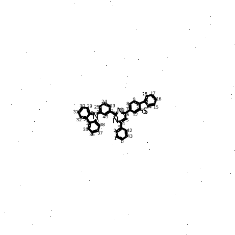 c1ccc(-c2cc(-c3ccc4c(c3)sc3ccccc34)nc(-c3cccc(-n4c5ccccc5c5ccccc54)c3)n2)cc1